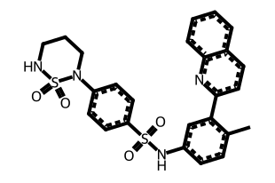 Cc1ccc(NS(=O)(=O)c2ccc(N3CCCNS3(=O)=O)cc2)cc1-c1ccc2ccccc2n1